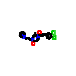 C[C@@H]1CN(CCCN2CCCCC2)C(=O)CCN1C(=O)C=Cc1ccc(Cl)c(Cl)c1